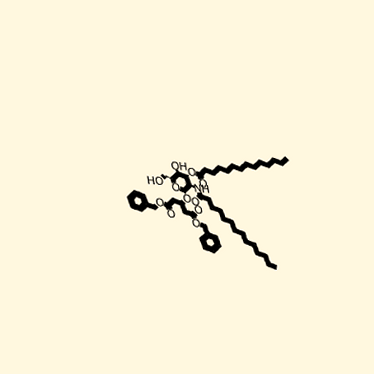 CCCCCCCCCCCCCC(=O)N[C@H]1[C@H](OC(CC(=O)OCc2ccccc2)CC(=O)OCc2ccccc2)O[C@H](CO)[C@@H](O)[C@@H]1OC(=O)CCCCCCCCCCCCC